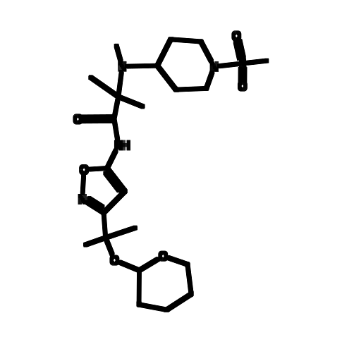 CN(C1CCN(S(C)(=O)=O)CC1)C(C)(C)C(=O)Nc1cc(C(C)(C)OC2CCCCO2)no1